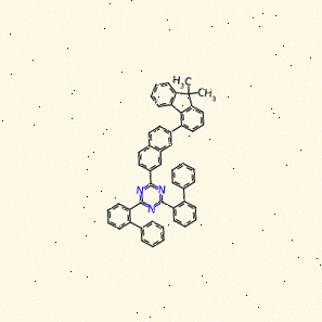 CC1(C)c2ccccc2-c2c(-c3ccc4ccc(-c5nc(-c6ccccc6-c6ccccc6)nc(-c6ccccc6-c6ccccc6)n5)cc4c3)cccc21